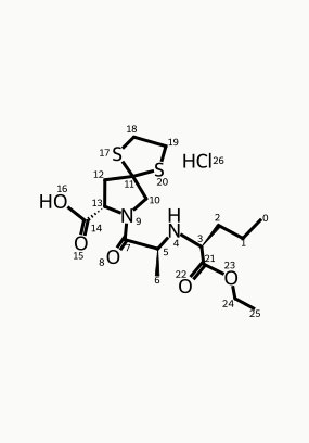 CCC[C@H](N[C@@H](C)C(=O)N1CC2(C[C@H]1C(=O)O)SCCS2)C(=O)OCC.Cl